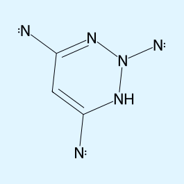 [N]C1=CC([N])=NN([N])N1